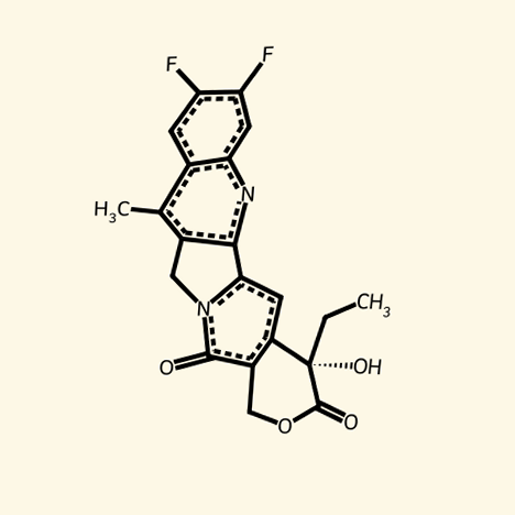 CC[C@@]1(O)C(=O)OCc2c1cc1n(c2=O)Cc2c-1nc1cc(F)c(F)cc1c2C